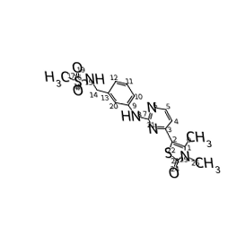 Cc1c(-c2ccnc(Nc3cccc(CNS(C)(=O)=O)c3)n2)sc(=O)n1C